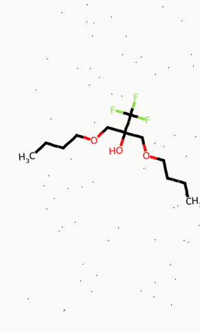 CCCCOCC(O)(COCCCC)C(F)(F)F